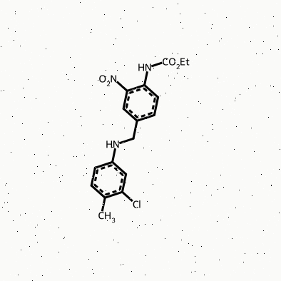 CCOC(=O)Nc1ccc(CNc2ccc(C)c(Cl)c2)cc1[N+](=O)[O-]